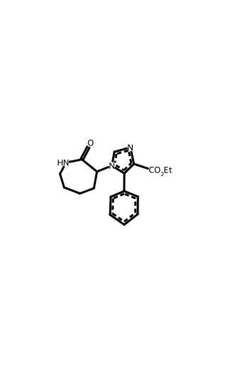 CCOC(=O)c1ncn(C2CCCCNC2=O)c1-c1ccccc1